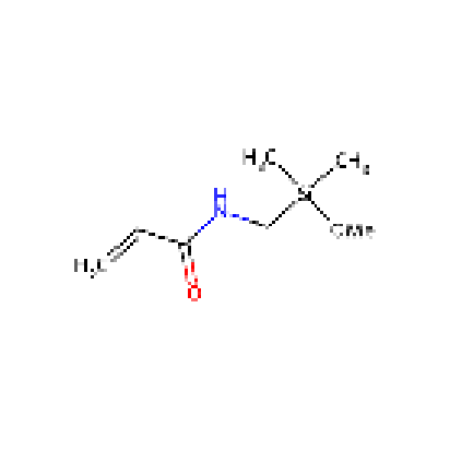 C=CC(=O)NC[Si](C)(C)OC